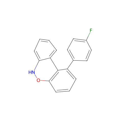 Fc1ccc(-c2cccc3c2-c2ccccc2NO3)cc1